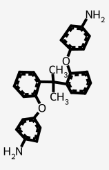 CC(C)(c1ccccc1Oc1ccc(N)cc1)c1ccccc1Oc1ccc(N)cc1